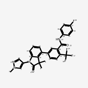 Cn1cc(N2C(=O)C(C)(C)c3c(-c4ccc(C(F)(F)F)c(C(=O)Nc5ccc(F)cc5)c4)cccc32)cn1